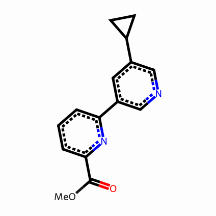 COC(=O)c1cccc(-c2cncc(C3CC3)c2)n1